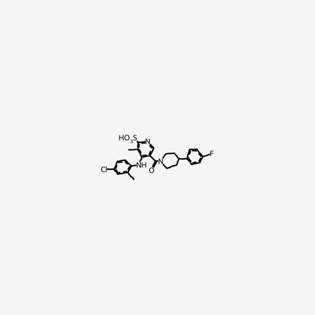 Cc1cc(Cl)ccc1Nc1c(C(=O)N2CCC(c3ccc(F)cc3)CC2)cnc(S(=O)(=O)O)c1C